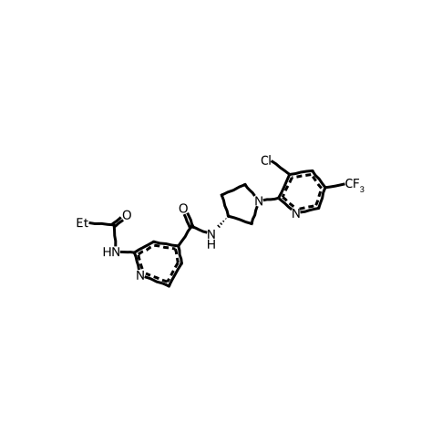 CCC(=O)Nc1cc(C(=O)N[C@@H]2CCN(c3ncc(C(F)(F)F)cc3Cl)C2)ccn1